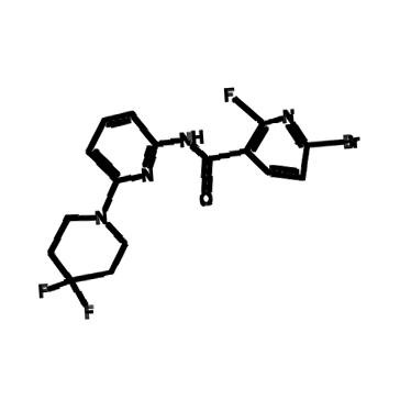 O=C(Nc1cccc(N2CCC(F)(F)CC2)n1)c1ccc(Br)nc1F